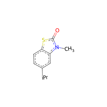 CC(C)c1ccc2sc(=O)n(C)c2c1